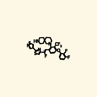 F/C(=C\c1ccc(Oc2cccc(F)c2F)c(C(F)(F)F)c1N1CCCC2(CCNCC2)C1)c1csc(-c2cnsc2)n1